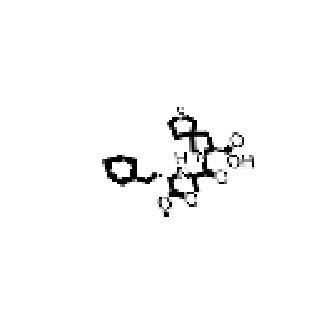 COC(=O)[C@H](CCc1ccccc1)NC(C)C(=O)N1CC2(CCSC2)C[C@H]1C(=O)O